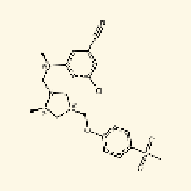 C[C@H](CN1C[C@@H](COc2ccc(S(C)(=O)=O)cc2)C[C@H]1C)c1cc(Cl)cc(C#N)c1